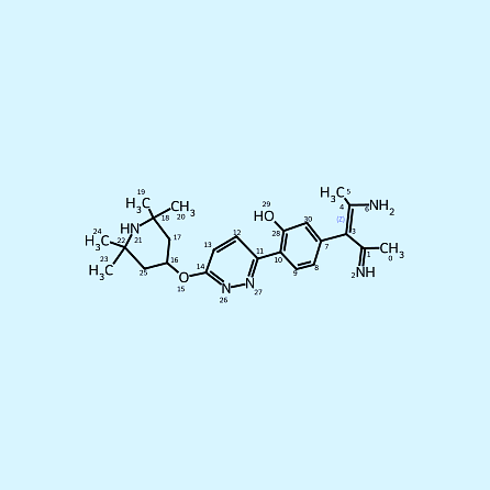 CC(=N)/C(=C(/C)N)c1ccc(-c2ccc(OC3CC(C)(C)NC(C)(C)C3)nn2)c(O)c1